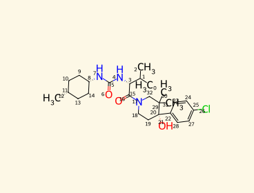 CC(C)[C@@H](NC(=O)N[C@H]1CC[C@@H](C)CC1)C(=O)N1CC[C@](O)(c2ccc(Cl)cc2)C(C)(C)C1